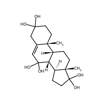 C[C@]12CCC(O)(O)CC1=CC(O)(O)[C@@H]1[C@H]2CC[C@@]2(C)[C@H]1CCC2(O)O